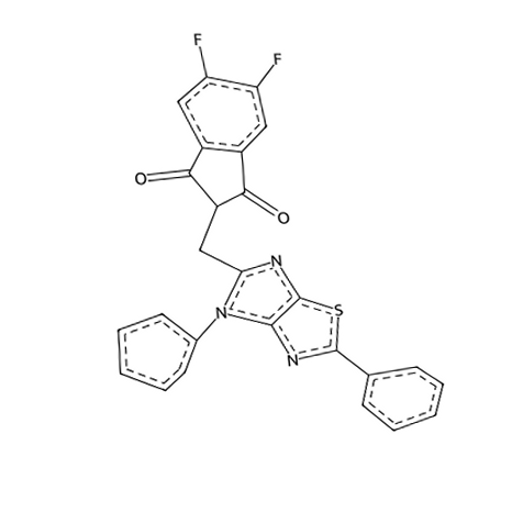 O=C1c2cc(F)c(F)cc2C(=O)C1Cc1nc2sc(-c3ccccc3)nc2n1-c1ccccc1